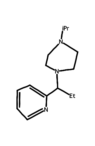 CCC(c1ccccn1)N1CCN(C(C)C)CC1